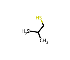 CC([SiH3])CS